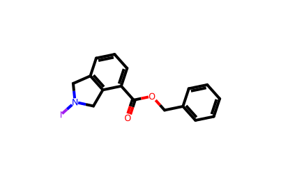 O=C(OCc1ccccc1)c1cccc2c1CN(I)C2